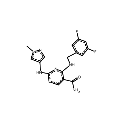 Cn1cc(Nc2ncc(C(N)=O)c(NCc3cc(F)cc(F)c3)n2)cn1